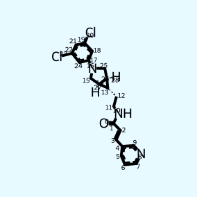 O=C(/C=C/c1cccnc1)NCC[C@@H]1[C@H]2CN(c3cc(Cl)cc(Cl)c3)C[C@@H]12